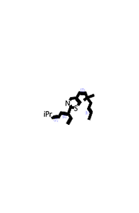 C=C/C(=C\C=C/C(C)C)C1=NCC(/C=C\C(C)(C)C/C=C/C)=CS1